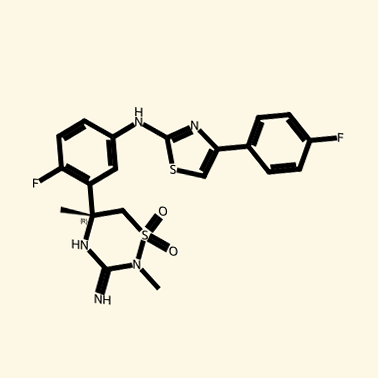 CN1C(=N)N[C@](C)(c2cc(Nc3nc(-c4ccc(F)cc4)cs3)ccc2F)CS1(=O)=O